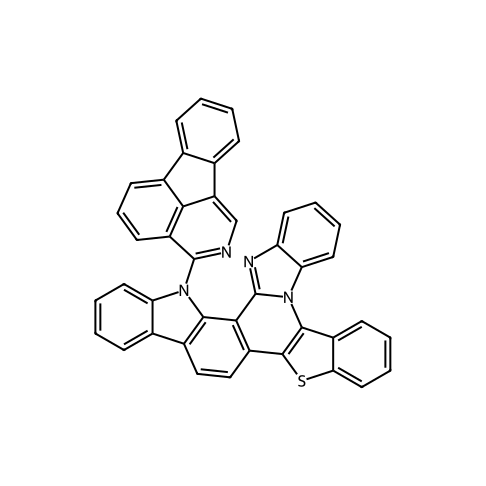 c1ccc2c(c1)-c1cccc3c(-n4c5ccccc5c5ccc6c7sc8ccccc8c7n7c8ccccc8nc7c6c54)ncc-2c13